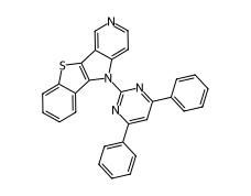 c1ccc(-c2cc(-c3ccccc3)nc(-n3c4ccncc4c4sc5ccccc5c43)n2)cc1